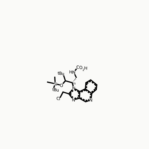 CC(C)(C)C(O[Si](C)(C)C(C)(C)C)[C@H](CNC(=O)O)n1c(CCl)nc2cnc3ccccc3c21